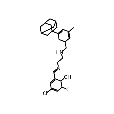 CC1=CC(CNCC/N=C/C2=CC(Cl)=CC(Cl)C2O)CC(C23CC4CC(CC(C4)C2)C3)=C1